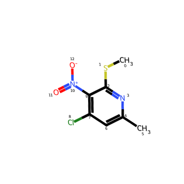 CSc1nc(C)cc(Cl)c1[N+](=O)[O-]